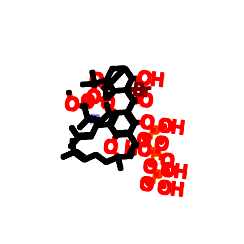 COC(=O)/C(C)=C\CC12OC(C)(C)C3CC(C1=O)C(O)C1(Br)C(=O)c4c(OP(=O)(O)OP(=O)(O)OP(=O)(O)O)c5c(c(CC=C(C)C)c4OC321)OC(C)(CCC=C(C)C)C=C5